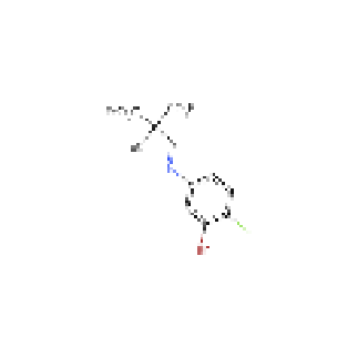 CCOC(=O)C(/C=N/c1ccc(F)c(Br)c1)(CC)C(=O)OCC